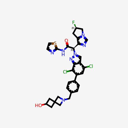 O=C(Nc1nccs1)[C@@H](c1ncn2c1C[C@@H](F)C2)n1cc2c(Cl)cc(-c3ccc(CN4CC5(CC(O)C5)C4)cc3)c(Cl)c2n1